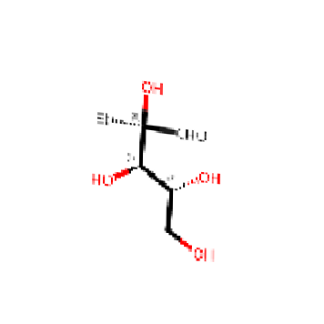 CC[C@](O)(C=O)[C@H](O)[C@H](O)CO